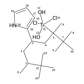 CC(CC(C[C](C)(C(C)(C)C)[Ti]([OH])([OH])([Cl])[Cl])c1ccc[nH]1)C(C)(C)C